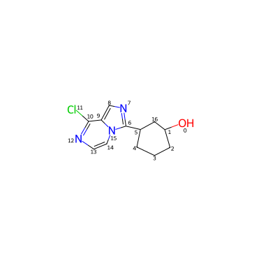 OC1CCCC(c2ncc3c(Cl)nccn23)C1